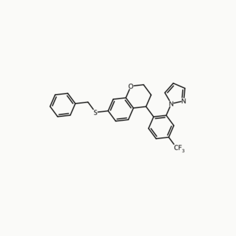 FC(F)(F)c1ccc(C2CCOc3cc(SCc4ccccc4)ccc32)c(-n2cccn2)c1